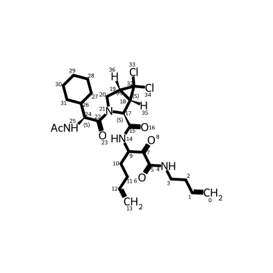 C=CCCNC(=O)C(=O)C(CCC=C)NC(=O)[C@@H]1[C@@H]2[C@H](CN1C(=O)[C@@H](NC(C)=O)C1CCCCC1)C2(Cl)Cl